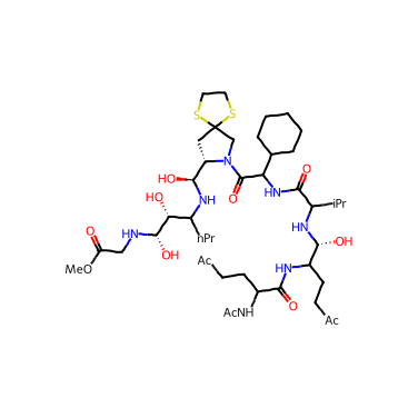 CCCC(N[C@@H](O)[C@@H]1CC2(CN1C(=O)C(NC(=O)C(N[C@H](O)C(CCC(C)=O)NC(=O)C(CCC(C)=O)NC(C)=O)C(C)C)C1CCCCC1)SCCS2)[C@@H](O)[C@H](O)NCC(=O)OC